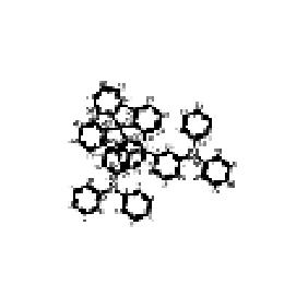 c1ccc(N(c2ccccc2)c2cccc(N(c3cccc(N(c4ccccc4)c4ccccc4)c3)c3cccc4c3C3(c5ccccc5-c5ccccc53)c3ccccc3-4)c2)cc1